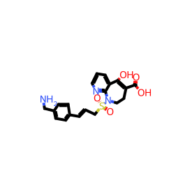 NCc1ccc(C=CCS(=O)(=O)N2CCC(C(=O)O)=C(O)c3cccnc32)cc1